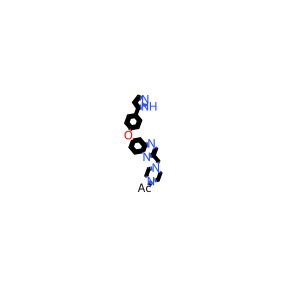 CC(=O)N1CCN(Cc2cnc3cc(Oc4ccc(-c5ccn[nH]5)cc4)ccc3n2)CC1